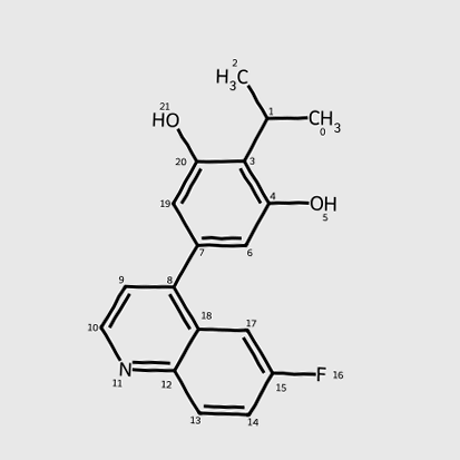 CC(C)c1c(O)cc(-c2ccnc3ccc(F)cc23)cc1O